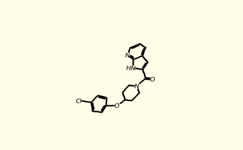 O=C(c1cc2cccnc2[nH]1)N1CCC(Oc2ccc(Cl)cc2)CC1